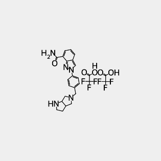 NC(=O)c1cccc2cn(-c3ccc(CN4CC5CCNC5C4)cc3)nc12.O=C(O)C(F)(F)F.O=C(O)C(F)(F)F